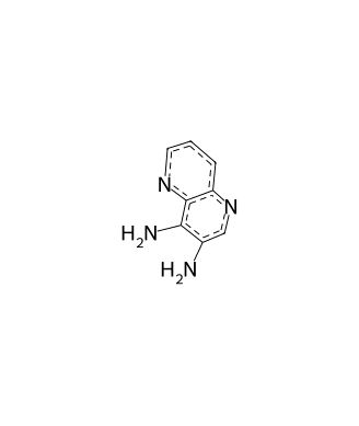 Nc1cnc2cccnc2c1N